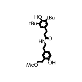 COCCc1cc(CCNC(=O)CCc2cc(C(C)(C)C)c(O)c(C(C)(C)C)c2)ccc1O